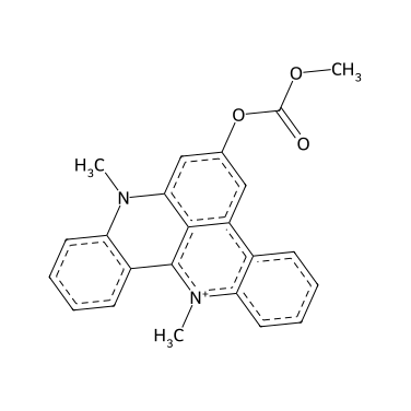 COC(=O)Oc1cc2c3c([n+](C)c4ccccc4c3c1)-c1ccccc1N2C